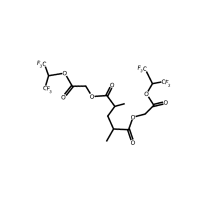 CC(CC(C)C(=O)OCC(=O)OC(C(F)(F)F)C(F)(F)F)C(=O)OCC(=O)OC(C(F)(F)F)C(F)(F)F